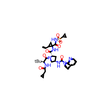 C=CC1CC1(NC(=O)[C@@H]1C[C@@H](NC(=O)n2ccc3cccnc32)CN1C(=O)[C@@H](NC(=O)CC1CC1)C(C)(C)C)C(=O)NS(=O)(=O)C1CC1